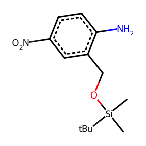 CC(C)(C)[Si](C)(C)OCc1cc([N+](=O)[O-])ccc1N